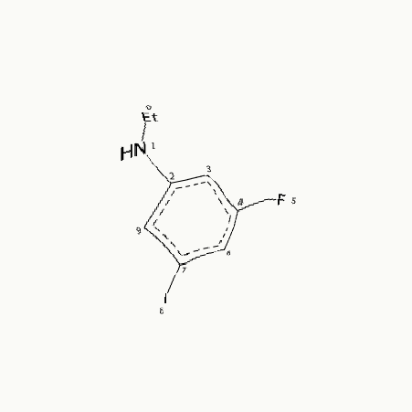 CCNc1cc(F)cc(I)c1